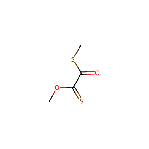 COC(=S)C(=O)SC